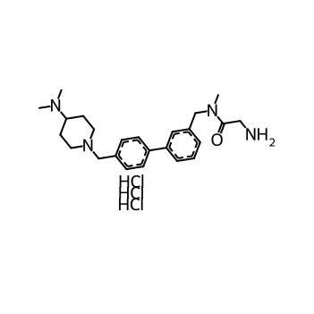 CN(Cc1cccc(-c2ccc(CN3CCC(N(C)C)CC3)cc2)c1)C(=O)CN.Cl.Cl.Cl